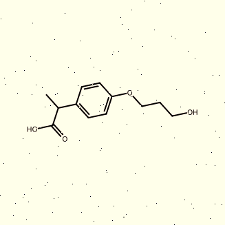 CC(C(=O)O)c1ccc(OCCCO)cc1